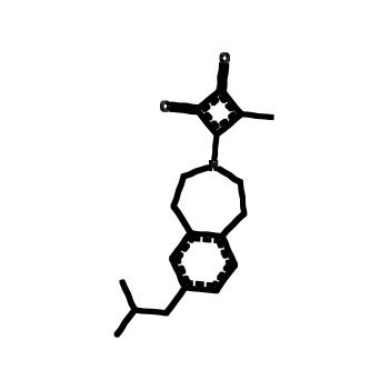 Cc1c(N2CCc3ccc(CC(C)C)cc3CC2)c(=O)c1=O